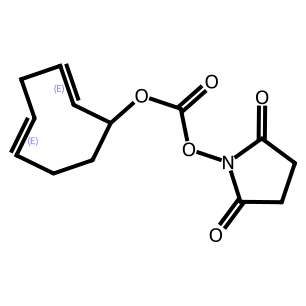 O=C(OC1/C=C/C/C=C/CC1)ON1C(=O)CCC1=O